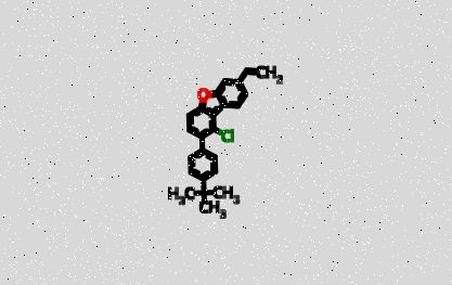 C=Cc1ccc2c(c1)oc1ccc(-c3ccc(C(C)(C)C)cc3)c(Cl)c12